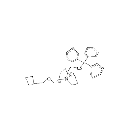 c1ccc(C(OC[C@@]23CCCN2[C@H](COCC2CCC2)CC3)(c2ccccc2)c2ccccc2)cc1